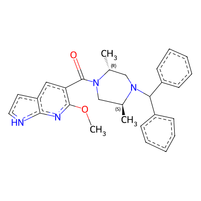 COc1nc2[nH]ccc2cc1C(=O)N1C[C@H](C)N(C(c2ccccc2)c2ccccc2)C[C@H]1C